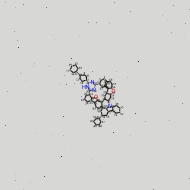 c1ccc(C2=NC(c3ccc(-c4ccccc4)cc3)NC(c3cccc4c3oc3c(-c5cc6c(cc5-n5c7ccccc7c7cc(-c8ccccc8)ccc75)oc5ccccc56)cccc34)=N2)cc1